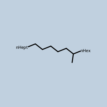 [CH2]CCCCCCCCCCCC(C)CCCCCC